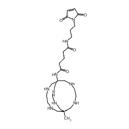 CC12CNCCNCC(NC(=O)CCCC(=O)NCCCN3C(=O)C=CC3=O)(CNCCNC1)CNCCNC2